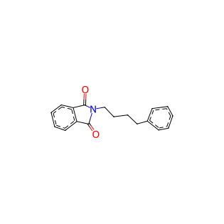 O=C1c2ccccc2C(=O)N1CCCCc1ccccc1